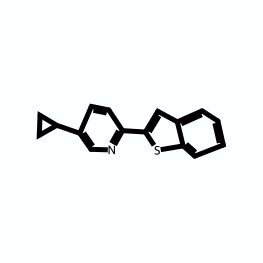 c1ccc2sc(-c3ccc(C4CC4)cn3)cc2c1